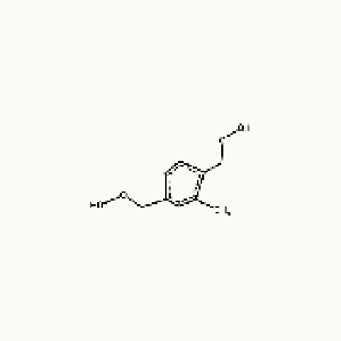 Cc1cc(COO)ccc1COO